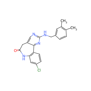 Cc1ccc(CNc2ncc3c(n2)-c2ccc(Cl)cc2NC(=O)C3)cc1C